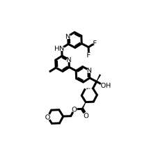 Cc1cc(Nc2cc(C(F)F)ccn2)nc(-c2ccc([C@](C)(O)[C@H]3CC[C@H](C(=O)OCC4CCOCC4)CC3)nc2)c1